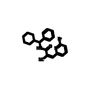 N#CC(=Cc1cccc(Br)n1)C(=O)N[C@H](c1ccccc1)C1CCCCC1